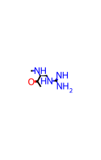 CN[C@@H](CNC(=N)N)C(C)=O